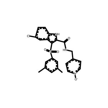 Cc1cc(C)cc(S(=O)(=O)c2c(C(=O)NCc3cc[n+]([O-])cc3)[nH]c3ccc(Cl)cc23)c1